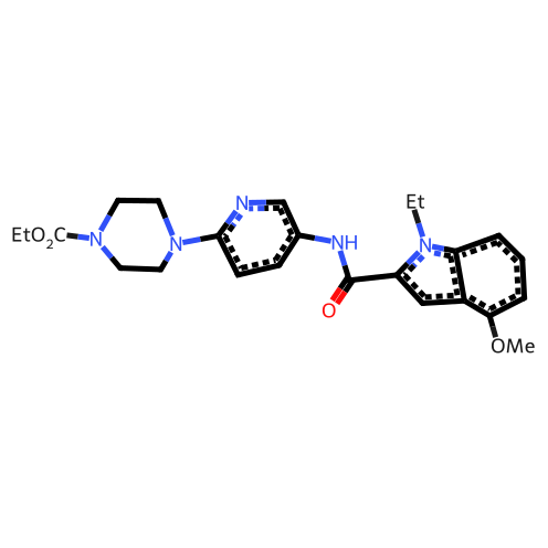 CCOC(=O)N1CCN(c2ccc(NC(=O)c3cc4c(OC)cccc4n3CC)cn2)CC1